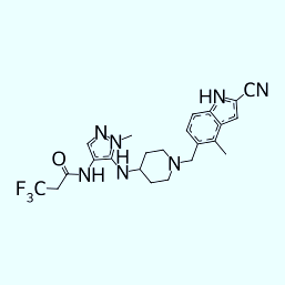 Cc1c(CN2CCC(Nc3c(NC(=O)CC(F)(F)F)cnn3C)CC2)ccc2[nH]c(C#N)cc12